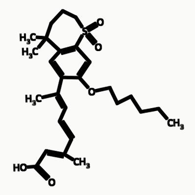 CCCCCCOc1cc2c(cc1C(C)=CC=CC(C)=CC(=O)O)C(C)(C)CCCS2(=O)=O